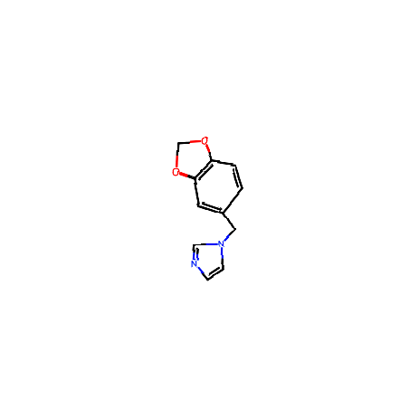 c1cn(Cc2ccc3c(c2)OCO3)cn1